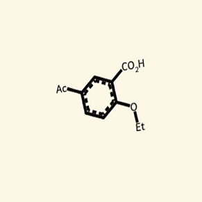 CCOc1ccc(C(C)=O)cc1C(=O)O